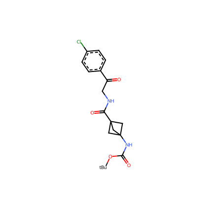 CC(C)(C)OC(=O)NC12CC(C(=O)NCC(=O)c3ccc(Cl)cc3)(C1)C2